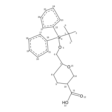 CC(C)(C)[Si](OCC1CCC(C(=O)O)CO1)(c1ccccc1)c1ccccc1